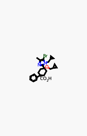 Cc1nc(C2(OCC3CC3)CCC(C(=O)O)(c3ccccc3)CC2)n(CC2CC2)c1Br